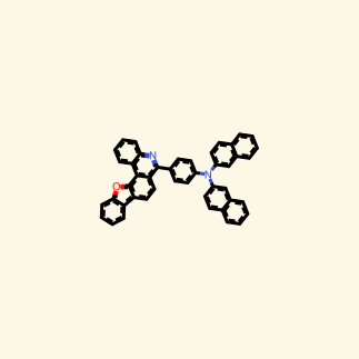 c1ccc2cc(N(c3ccc(-c4nc5ccccc5c5c4ccc4c6ccccc6oc45)cc3)c3ccc4ccccc4c3)ccc2c1